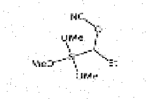 CCC(OC#N)[Si](OC)(OC)OC